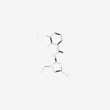 CC(C)Cn1cc(C(C)(C)C)s/c1=N\C(=O)c1cccc(C(F)(F)F)c1F